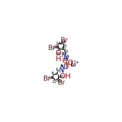 [Li+].[O-]B(O/N=N/Cc1cc(Br)cc(Br)c1O)O/N=N/Cc1cc(Br)cc(Br)c1O